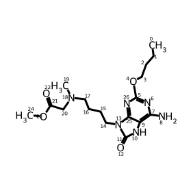 CCCCOc1nc(N)c2[nH]c(=O)n(CCCCN(C)CC(=O)OC)c2n1